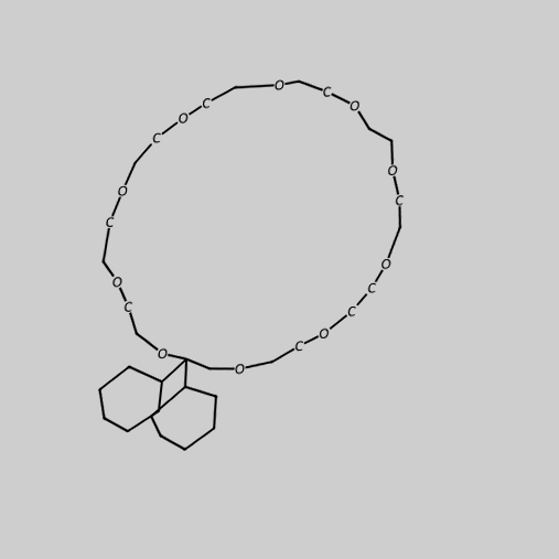 C1CCC(C2(C3CCCCC3)COCCOCCOCCOCCOCCOCCOCCOCCOCCO2)CC1